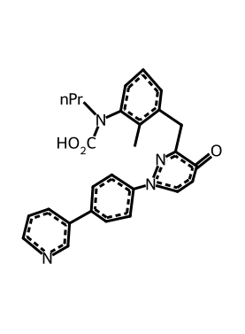 CCCN(C(=O)O)c1cccc(Cc2nn(-c3ccc(-c4cccnc4)cc3)ccc2=O)c1C